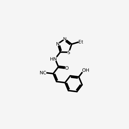 CCc1nnc(NC(=O)C(C#N)=Cc2cccc(O)c2)s1